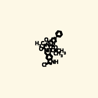 C[C@H](NC(=O)[C@H]1C[C@H](c2ccccc2)CN1C(=O)OC(C)(C)C)C(=O)NCc1ccc2[nH]cc(Cl)c2c1